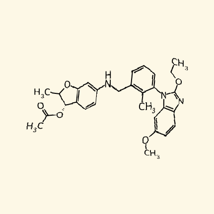 CCOc1nc2ccc(OC)cc2n1-c1cccc(CNc2ccc3c(c2)OC(C)[C@H]3OC(C)=O)c1C